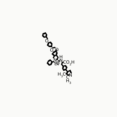 CC[C@@H](c1ccccc1)N1Cc2cc3c(cc2C[C@H]1C(=O)NC(Cc1ccc(-c2ccnc(C)c2C)cc1)C(=O)O)OC[C@H](c1ccc(OCc2ccccc2)cc1)O3